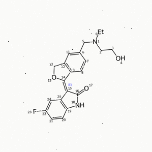 CCN(CCO)Cc1ccc2c(c1)CO/C2=C1/C(=O)Nc2ccc(F)cc21